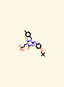 Cc1ccc(Cn2c(=O)n(CCC(=O)O)c(=O)[nH]/c2=N\c2ccc(OCC(C)(C)C)cc2)cc1